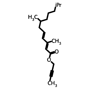 CC#CCOC(=O)/C=C(C)/C=C/CC(C)CCCC(C)C